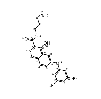 CCCCOC(=O)c1ncc2ccc(Oc3cc(F)cc(F)c3)cc2c1O